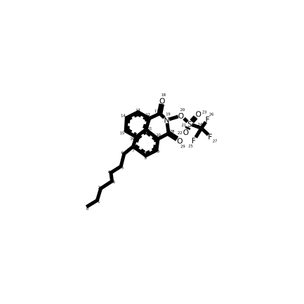 CCCCCCCc1ccc2c3c(cccc13)C(=O)N(OS(=O)(=O)C(F)(F)F)C2=O